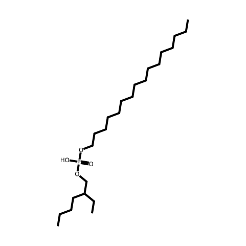 CCCCCCCCCCCCCCCCOP(=O)(O)OCC(CC)CCCC